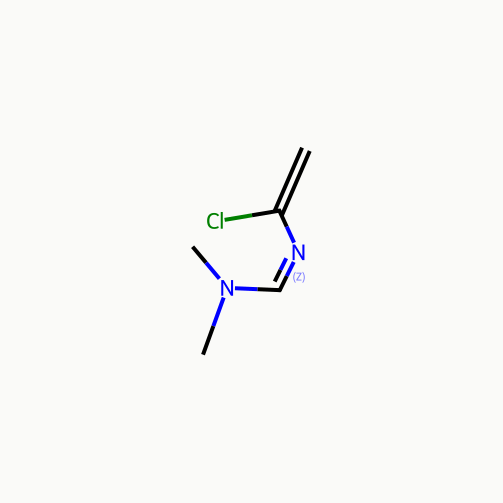 C=C(Cl)/N=C\N(C)C